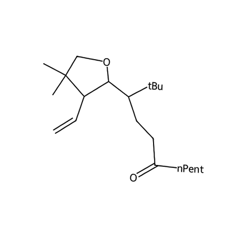 C=CC1C(C(CCC(=O)CCCCC)C(C)(C)C)OCC1(C)C